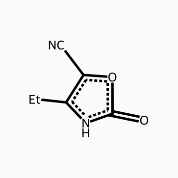 CCc1[nH]c(=O)oc1C#N